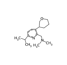 CC(C)c1ccc(C2CCCOC2)c(CN(C)C)n1